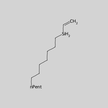 C=C[SiH2]CCCCCCCCCCCC